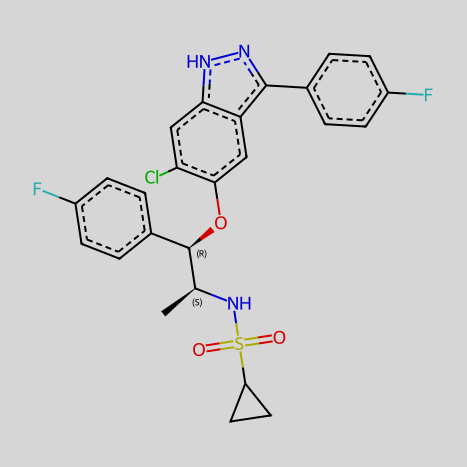 C[C@H](NS(=O)(=O)C1CC1)[C@H](Oc1cc2c(-c3ccc(F)cc3)n[nH]c2cc1Cl)c1ccc(F)cc1